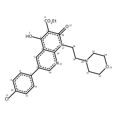 CCOC(=O)c1c(O)c2cc(-c3ccc(Cl)cc3)cnc2n(CCN2CCOCC2)c1=O